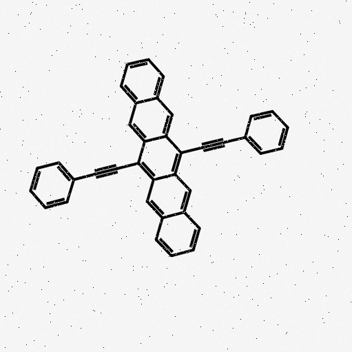 C(#Cc1c2cc3ccccc3cc2c(C#Cc2ccccc2)c2cc3ccccc3cc12)c1ccccc1